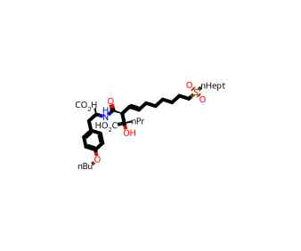 CCCCCCCS(=O)(=O)CCCCCC/C=C/[C@H](C(=O)N[C@@H](Cc1ccc(OCCCC)cc1)C(=O)O)[C@@](O)(CCC)C(=O)O